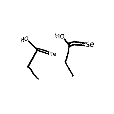 CCC(O)=[Se].CCC(O)=[Te]